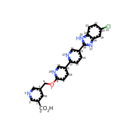 O=C(O)c1cncc(COc2ccc(-c3ccc(-c4nc5cc(Cl)ccc5[nH]4)cn3)cn2)c1